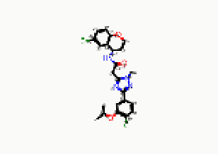 CC(C)Oc1cc(-c2nc(CC(=O)N[C@@H]3CCOc4ccc(Cl)cc43)n(C)n2)ccc1Cl